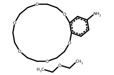 CCOCC.Nc1ccc2c(c1)OCCOCCOCCOCCOCCO2